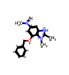 CC(=O)N(C)c1cc2c(c(OCc3ccccc3)c1)N(C)C(C)N2